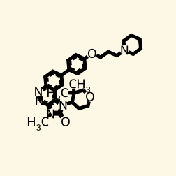 Cn1c(=O)n(C2CCOCC2(C)C)c2c3cc(-c4ccc(OCCCN5CCCCC5)cc4)ccc3nnc21